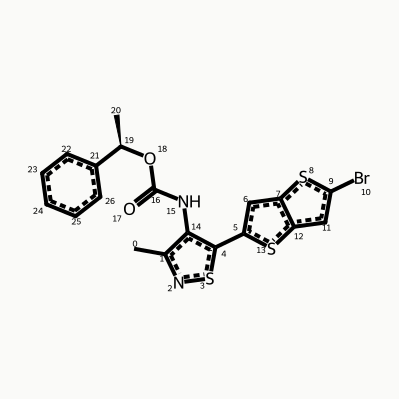 Cc1nsc(-c2cc3sc(Br)cc3s2)c1NC(=O)O[C@H](C)c1ccccc1